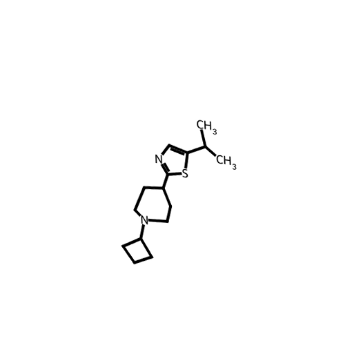 CC(C)c1cnc(C2CCN(C3CCC3)CC2)s1